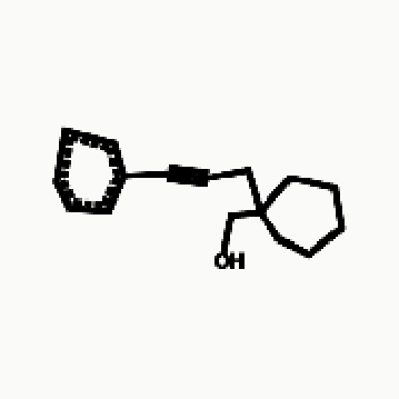 OCC1(CC#Cc2ccccc2)CCCCC1